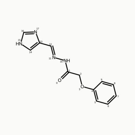 O=C(COc1ccccc1)N/N=C/c1c[nH]cn1